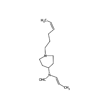 C/C=C\CCCN1CCC(N(C=O)/C=C/C)CC1